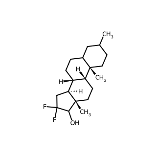 CC1CC[C@@]2(C)C(CC[C@@H]3[C@H]2CC[C@]2(C)C(O)C(F)(F)C[C@@H]32)C1